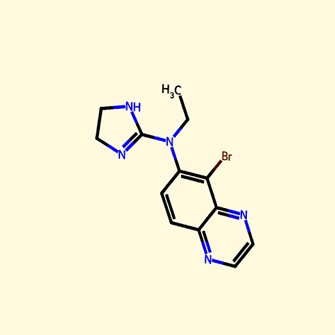 CCN(C1=NCCN1)c1ccc2nccnc2c1Br